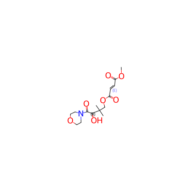 COC(=O)/C=C/C(=O)OCC(C)(C)[C@@H](O)C(=O)N1CCOCC1